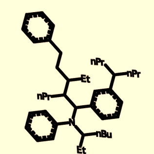 CCCCC(CC)N(c1ccccc1)C(c1cccc(C(CCC)CCC)c1)C(CCC)C(CC)CCc1ccccc1